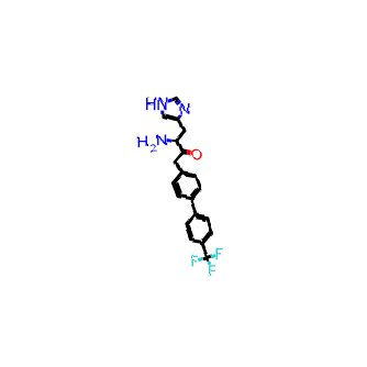 NC(Cc1c[nH]cn1)C(=O)Cc1ccc(-c2ccc(C(F)(F)F)cc2)cc1